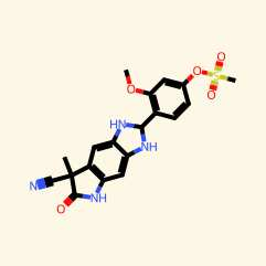 COc1cc(OS(C)(=O)=O)ccc1C1Nc2cc3c(cc2N1)C(C)(C#N)C(=O)N3